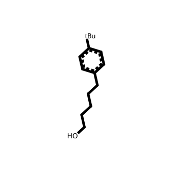 CC(C)(C)c1ccc(CCCCCO)cc1